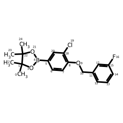 CC1(C)OB(c2ccc(OCc3cccc(F)c3)c(Cl)c2)OC1(C)C